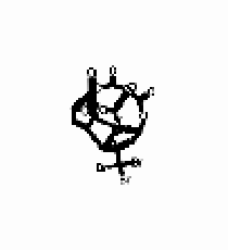 O=C1OC(=O)Oc2cc3c(C(Br)(Br)Br)cc2oc(=O)oc(=O)oc2cc(C(Br)(Br)Br)c3cc2O1